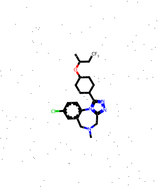 CC(CC(F)(F)F)OC1CCC(c2nnc3n2-c2ccc(Cl)cc2CN(C)C3)CC1